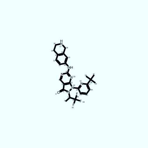 CC(n1c(=O)c2cnc(Nc3ccc4c(c3)CNCC4)nc2n1-c1cccc(C(C)(C)C)n1)C(F)(F)F